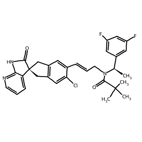 C[C@H](c1cc(F)cc(F)c1)N(C/C=C/c1cc2c(cc1Cl)C[C@]1(C2)C(=O)Nc2ncccc21)C(=O)C(C)(C)C